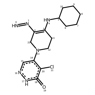 N=NC1=C(NC2CCCCC2)CCN(c2cn[nH]c(=O)c2Cl)C1